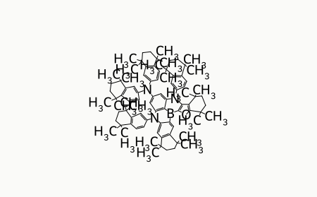 CC1(C)CCC(C)(C)c2cc(N(c3cc4c5c(c3)N(c3ccc6c(c3)C(C)(C)CCC6(C)C)c3c(oc6c3C(C)(C)CCC6(C)C)B5c3cc5c(cc3N4c3ccc4c(c3)C(C)(C)CCC4(C)C)C(C)(C)CCC5(C)C)c3ccc4c(c3)C(C)(C)CCC4(C)C)ccc21